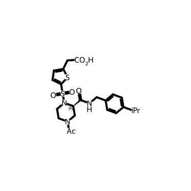 CC(=O)N1CCN(S(=O)(=O)c2ccc(CC(=O)O)s2)[C@@H](C(=O)NCc2ccc(C(C)C)cc2)C1